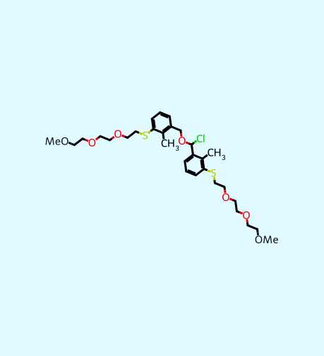 COCCOCCOCCSc1cccc(COC(Cl)c2cccc(SCCOCCOCCOC)c2C)c1C